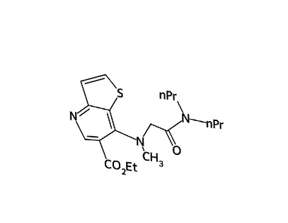 CCCN(CCC)C(=O)CN(C)c1c(C(=O)OCC)cnc2ccsc12